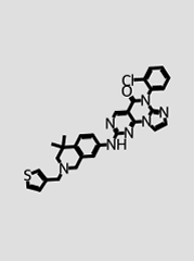 CC1(C)CN(Cc2ccsc2)Cc2cc(Nc3ncc4c(=O)n(-c5ccccc5Cl)c5nccn5c4n3)ccc21